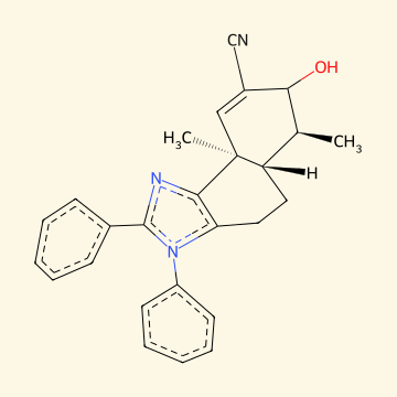 C[C@@H]1C(O)C(C#N)=C[C@]2(C)c3nc(-c4ccccc4)n(-c4ccccc4)c3CC[C@@H]12